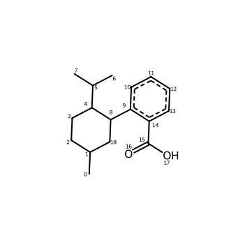 CC1CCC(C(C)C)C(c2ccccc2C(=O)O)C1